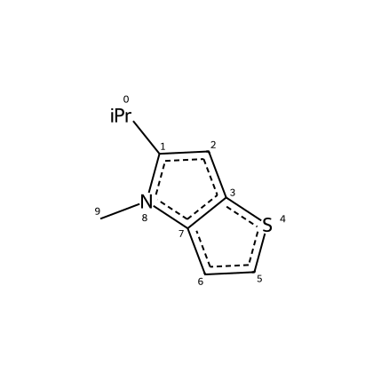 CC(C)c1cc2sccc2n1C